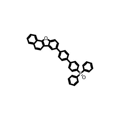 O=P(c1ccccc1)(c1ccccc1)c1ccc(-c2ccc(-c3ccc4oc5c6ccccc6ccc5c4c3)cc2)cc1